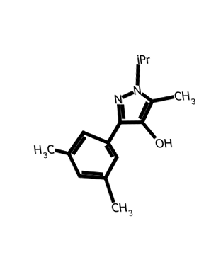 Cc1cc(C)cc(-c2nn(C(C)C)c(C)c2O)c1